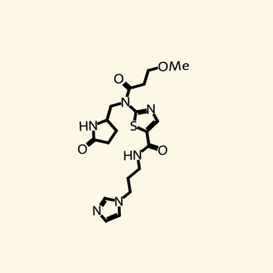 COCCC(=O)N(CC1CCC(=O)N1)c1ncc(C(=O)NCCCn2ccnc2)s1